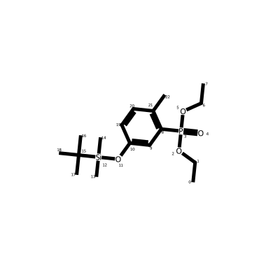 CCOP(=O)(OCC)c1cc(O[Si](C)(C)C(C)(C)C)ccc1C